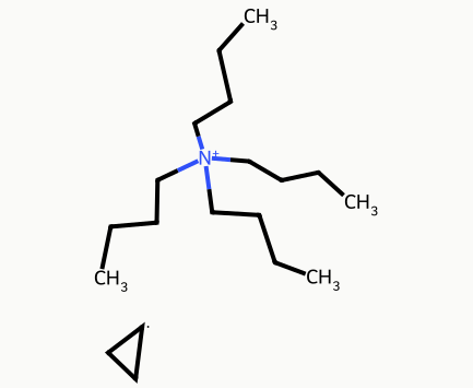 CCCC[N+](CCCC)(CCCC)CCCC.[CH]1CC1